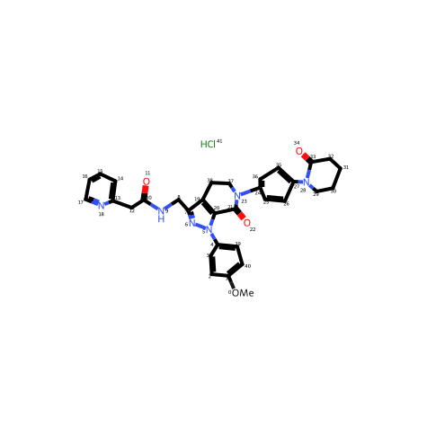 COc1ccc(-n2nc(CNC(=O)Cc3ccccn3)c3c2C(=O)N(c2ccc(N4CCCCC4=O)cc2)CC3)cc1.Cl